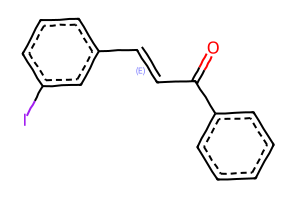 O=C(/C=C/c1cccc(I)c1)c1ccccc1